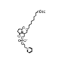 CCCCCCCCCCCCCCCCCCOCC(COP(=O)([O-])OCC[n+]1ccccc1)N1C(=O)CCC1=O